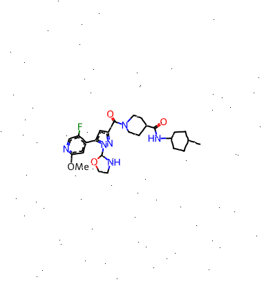 COc1cc(-c2cc(C(=O)N3CCC(C(=O)NC4CCC(C)CC4)CC3)nn2C2NCCO2)c(F)cn1